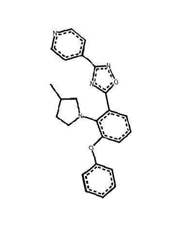 CC1CCN(c2c(Oc3ccccc3)cccc2-c2nc(-c3ccncc3)no2)C1